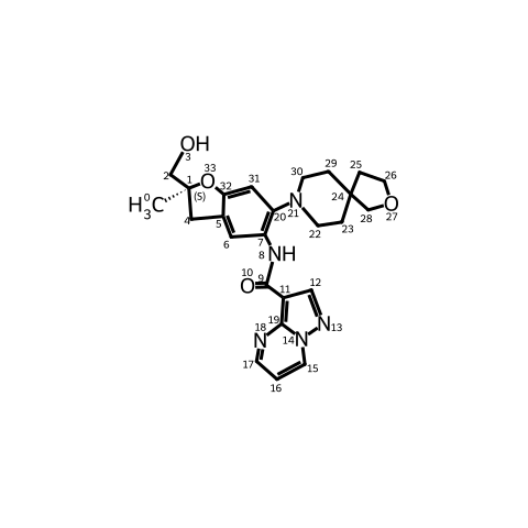 C[C@@]1(CO)Cc2cc(NC(=O)c3cnn4cccnc34)c(N3CCC4(CCOC4)CC3)cc2O1